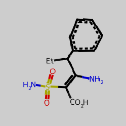 CCC(C(N)=C(C(=O)O)S(N)(=O)=O)c1ccccc1